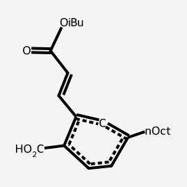 CCCCCCCCc1ccc(C(=O)O)c(/C=C/C(=O)OCC(C)C)c1